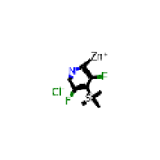 C[Si](C)(C)c1c(F)cn[c]([Zn+])c1F.[Cl-]